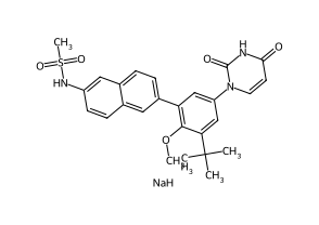 COc1c(-c2ccc3cc(NS(C)(=O)=O)ccc3c2)cc(-n2ccc(=O)[nH]c2=O)cc1C(C)(C)C.[NaH]